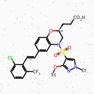 CCOc1nn(CC)cc1S(=O)(=O)N1C[C@H](CCC(=O)O)Oc2ccc(/C=C/c3c(Cl)cccc3C(F)(F)F)cc21